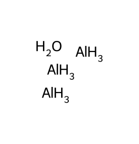 O.[AlH3].[AlH3].[AlH3]